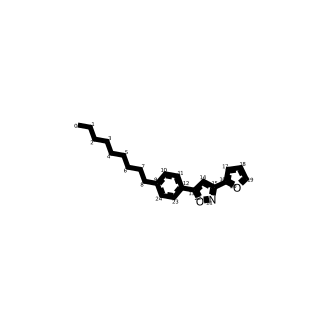 CCCCCCCCCc1ccc(-c2cc(-c3ccco3)no2)cc1